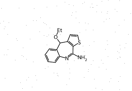 CCOC1c2ccccc2N=C(N)c2sccc21